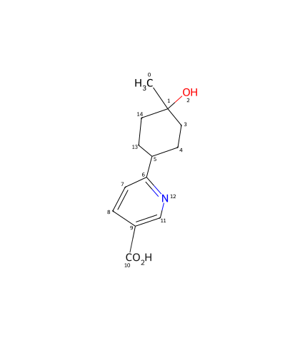 CC1(O)CCC(c2ccc(C(=O)O)cn2)CC1